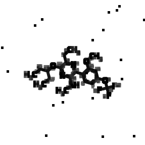 CCc1nc(-c2ccc(OC(F)(F)F)cc2OC)c(NC)nc1OC(CC)CC